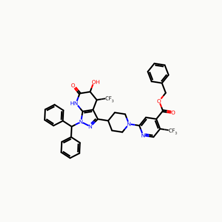 O=C(OCc1ccccc1)c1cc(N2CCC(c3nn(C(c4ccccc4)c4ccccc4)c4c3C(C(F)(F)F)C(O)C(=O)N4)CC2)ncc1C(F)(F)F